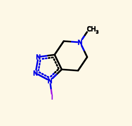 CN1CCc2c(nnn2I)C1